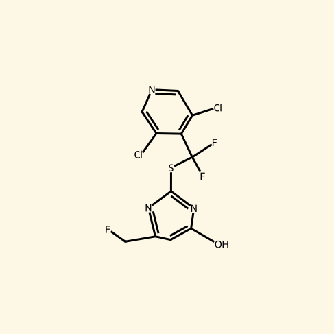 Oc1cc(CF)nc(SC(F)(F)c2c(Cl)cncc2Cl)n1